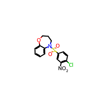 O=[N+]([O-])c1cc(S(=O)(=O)N2CCCOc3ccccc32)ccc1Cl